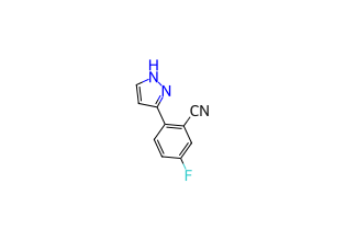 N#Cc1cc(F)ccc1-c1cc[nH]n1